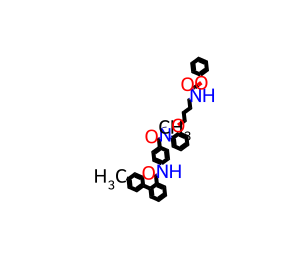 Cc1ccc(-c2ccccc2C(=O)Nc2ccc(C(=O)N(C)c3ccccc3OCCCCNC(=O)Oc3ccccc3)cc2)cc1